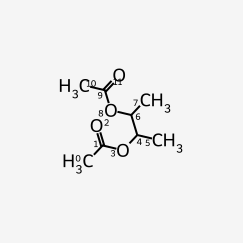 CC(=O)OC(C)C(C)OC(C)=O